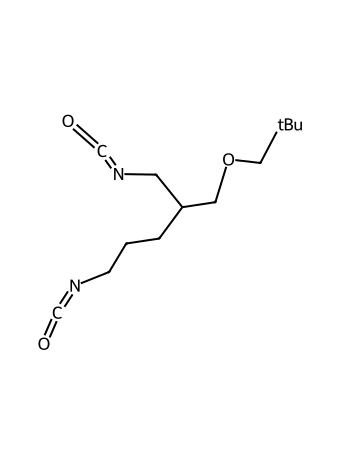 CC(C)(C)COCC(CCCN=C=O)CN=C=O